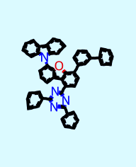 c1ccc(-c2cccc(-c3ccc(-c4nc(-c5ccccc5)nc(-c5ccccc5)n4)c4c3oc3c(-n5c6ccccc6c6ccccc65)cccc34)c2)cc1